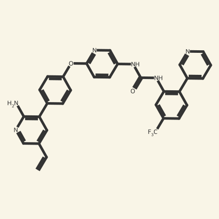 C=Cc1cnc(N)c(-c2ccc(Oc3ccc(NC(=O)Nc4cc(C(F)(F)F)ccc4-c4cccnc4)cn3)cc2)c1